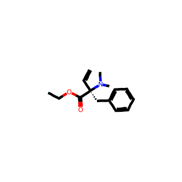 C=C[C@](Cc1ccccc1)(C(=O)OCC)N(C)C